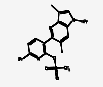 CCCn1cc(C)c2nc(-c3ccc(C(C)C)nc3OS(=O)(=O)C(F)(F)F)c(C)cc21